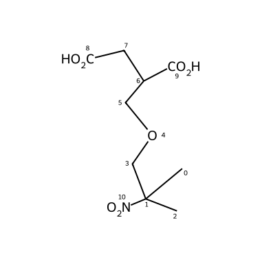 CC(C)(COCC(CC(=O)O)C(=O)O)[N+](=O)[O-]